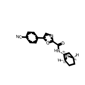 N#Cc1ccc(-c2cnc(C(=O)N[C@@H]3C[C@H]4CC[C@@H]3N4)o2)cc1